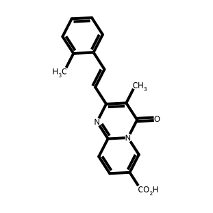 Cc1ccccc1C=Cc1nc2ccc(C(=O)O)cn2c(=O)c1C